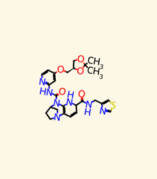 CC1(C)OC[C@H](COc2ccnc(NC(=O)N3C4=C(C=CC(C(=O)NCc5cscn5)N4)N4CCC3C4)c2)O1